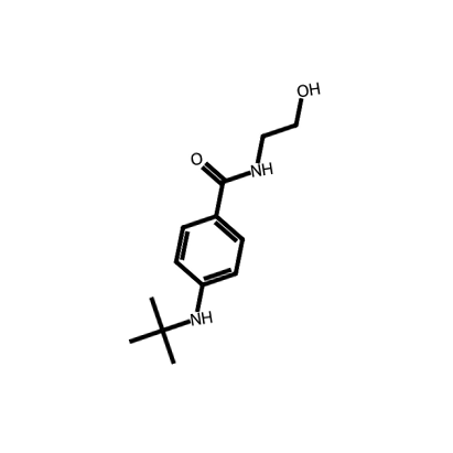 CC(C)(C)Nc1ccc(C(=O)NCCO)cc1